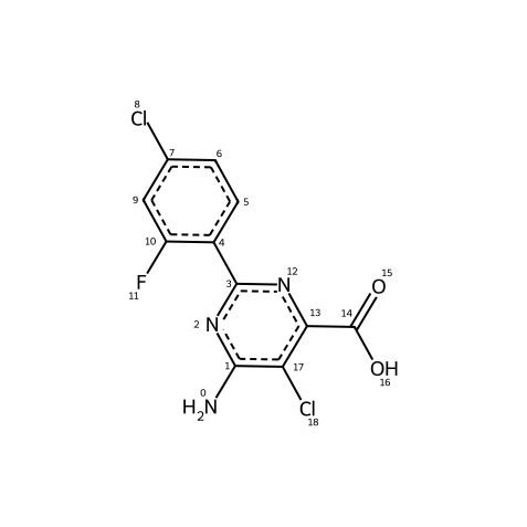 Nc1nc(-c2ccc(Cl)cc2F)nc(C(=O)O)c1Cl